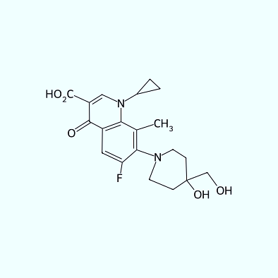 Cc1c(N2CCC(O)(CO)CC2)c(F)cc2c(=O)c(C(=O)O)cn(C3CC3)c12